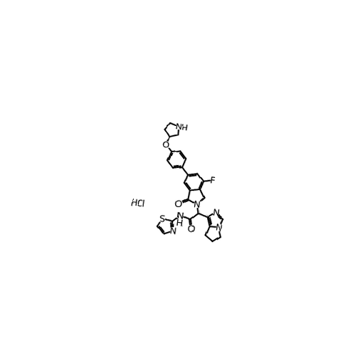 Cl.O=C(Nc1nccs1)C(c1ncn2c1CCC2)N1Cc2c(F)cc(-c3ccc(O[C@H]4CCNC4)cc3)cc2C1=O